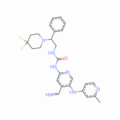 Cc1cc(Nc2cnc(NC(=O)NCC(c3ccccc3)N3CCC(F)(F)CC3)cc2C=N)ccn1